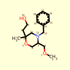 COCC1COC(C)(CCO)CN1Cc1ccccc1